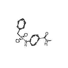 CNC(=O)c1ccc(NS(=O)(=O)Cc2ccccc2)cc1